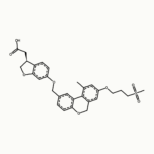 Cc1cc(OCCCS(C)(=O)=O)cc2c1-c1cc(COc3ccc4c(c3)OC[C@H]4CC(=O)O)ccc1OC2